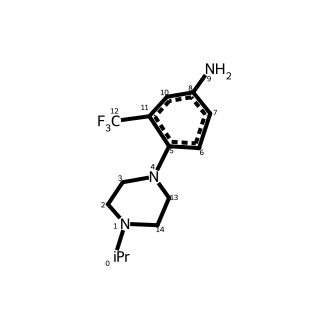 CC(C)N1CCN(c2ccc(N)cc2C(F)(F)F)CC1